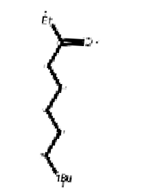 CCC(=O)CCCCCC(C)(C)C